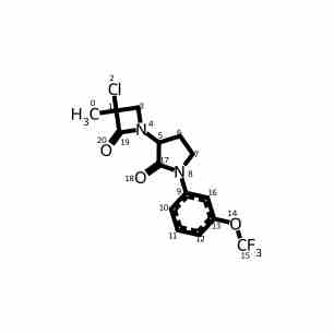 CC1(Cl)CN(C2CCN(c3cccc(OC(F)(F)F)c3)C2=O)C1=O